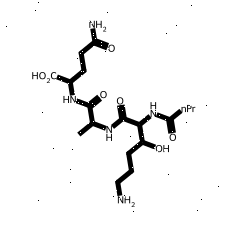 CCCC(=O)NC(C(=O)NC(C)C(=O)NC(CCC(N)=O)C(=O)O)C(O)CCCN